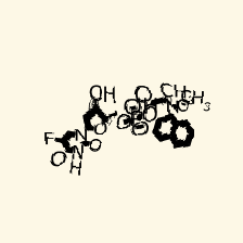 CON(c1cccc2ccccc12)[C@@H](C)C(=O)OP(=O)(O)OC[C@H]1O[C@@H](n2cc(F)c(=O)[nH]c2=O)C[C@@H]1O